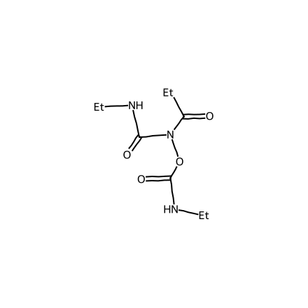 CCNC(=O)ON(C(=O)CC)C(=O)NCC